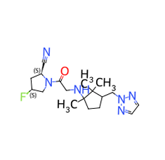 CC1(NCC(=O)N2C[C@@H](F)C[C@H]2C#N)CCC(Cn2nccn2)C1(C)C